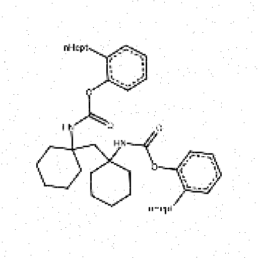 CCCCCCCc1ccccc1OC(=O)NC1(CC2(NC(=O)Oc3ccccc3CCCCCCC)CCCCC2)CCCCC1